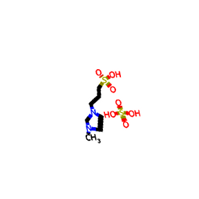 CN1C=CN(CCCS(=O)(=O)O)C1.O=S(=O)(O)O